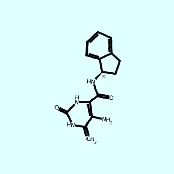 C=C1NC(=O)NC(C(=O)N[C@@H]2CCc3ccccc32)=C1N